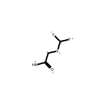 [NH]C(=O)CSC(F)F